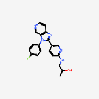 CC(O)CNc1ccc(-c2nc3ccncc3n2-c2ccc(F)cc2)cn1